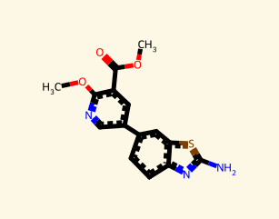 COC(=O)c1cc(-c2ccc3nc(N)sc3c2)cnc1OC